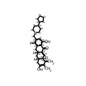 C=C1C(C)=C(O)C[C@@H]2C[C@@H]3Cc4c(F)c(CN5CCC(C6CCCC6)CC5)cc(O)c4C(=O)C3=C3O[C@]132